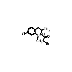 COc1cc(Cl)ccc1CC(C)NC(=O)CBr